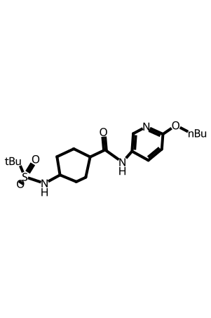 CCCCOc1ccc(NC(=O)C2CCC(NS(=O)(=O)C(C)(C)C)CC2)cn1